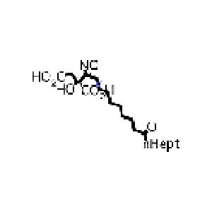 CCCCCCCC(=O)CCCCCC/C=C/[C@H](N=O)[C@@](O)(CC(=O)O)C(=O)O